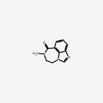 CN1CCn2cnc3cccc(c32)C1=O